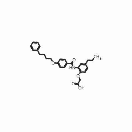 CCCc1ccc(OCC(=O)O)c(NC(=O)c2ccc(OCCCCc3ccccc3)cc2)c1